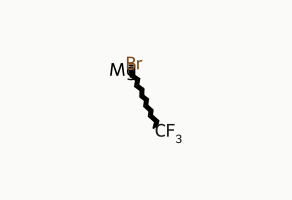 FC(F)(F)CCCCCCCCCC[CH2][Mg][Br]